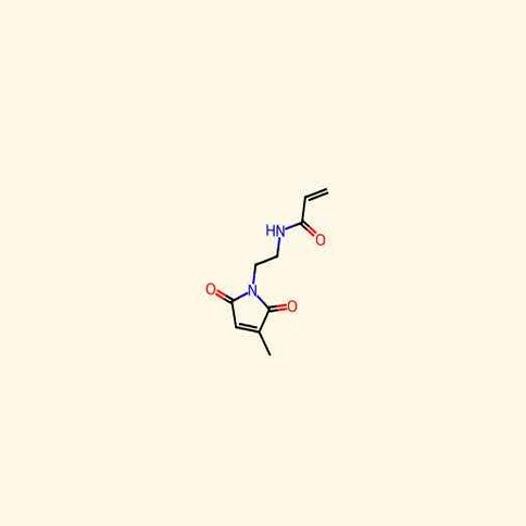 C=CC(=O)NCCN1C(=O)C=C(C)C1=O